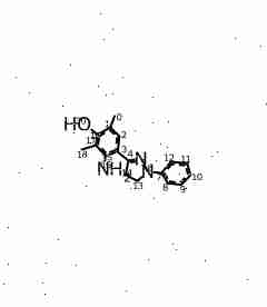 Cc1cc(C2=NN(c3ccccc3)CC2)c(N)c(C)c1O